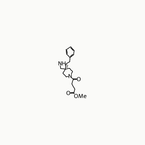 COC(=O)CCC(=O)N1CCC(CN)(CCc2ccccc2)CC1